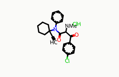 C#CC1(N(C(=O)C(NC)C(=O)c2ccc(Cl)cc2)c2ccccc2)CCCCC1.Cl